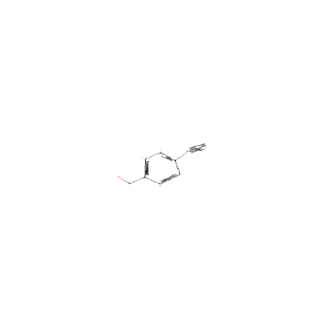 C#Cc1ccc(C[O])cc1